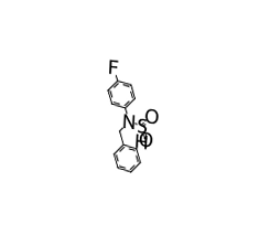 O=[SH](=O)N(Cc1ccccc1)c1ccc(F)cc1